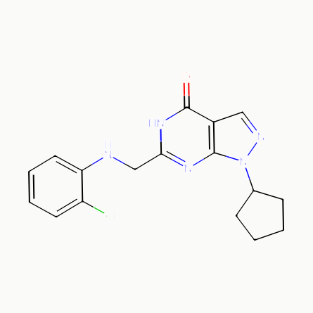 O=c1[nH]c(CNc2ccccc2Cl)nc2c1cnn2C1CCCC1